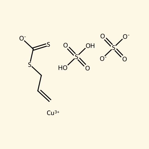 C=CCSC([O-])=S.O=S(=O)(O)O.O=S(=O)([O-])[O-].[Cu+3]